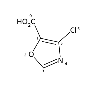 O=C(O)c1ocnc1Cl